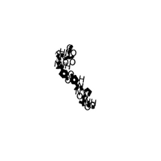 COC(=O)N[C@H](C(=O)N1CCC[C@H]1c1ncc(-c2ccc3c(c2)Oc2ccc(-c4cnc([C@@H]5C[Si](C)(C)CN5C(=O)[C@@H](NC(=O)OC)C(C)OC)[nH]4)cc2O3)[nH]1)C(C)C